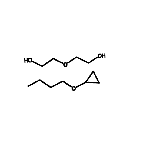 CCCCOC1CC1.OCCOCCO